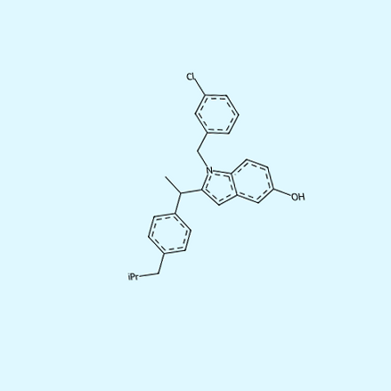 CC(C)Cc1ccc(C(C)c2cc3cc(O)ccc3n2Cc2cccc(Cl)c2)cc1